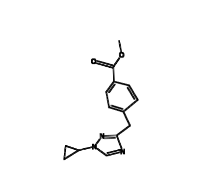 COC(=O)c1ccc(Cc2ncn(C3CC3)n2)cc1